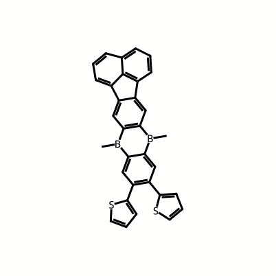 CB1c2cc(-c3cccs3)c(-c3cccs3)cc2B(C)c2cc3c(cc21)-c1cccc2cccc-3c12